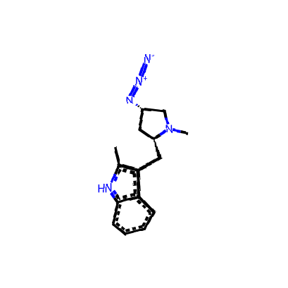 Cc1[nH]c2ccccc2c1C[C@H]1C[C@H](N=[N+]=[N-])CN1C